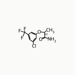 C[C@H](Oc1cc(Cl)cc(C(F)(F)F)c1)C(N)=O